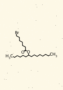 CCCCCCCCC(CCCCCC)OC(=O)CCCCCCBr